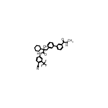 CNC(=O)c1cccc(-c2cccc(C[C@](O)(C(=O)Nc3ccc(C#N)c(C(F)(F)F)c3)C3CCCCC3)c2)c1